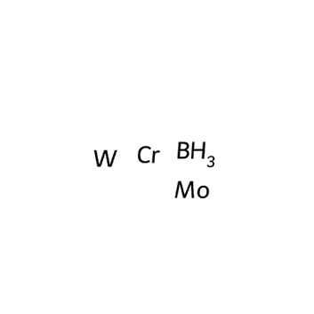 B.[Cr].[Mo].[W]